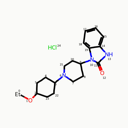 CCOC1CCC(N2CCC(n3c(=O)[nH]c4ccccc43)CC2)CC1.Cl